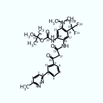 Cc1ccc(-c2cccc(C(=O)CC(=O)Nc3cc(C(F)(F)F)c(N(C)C)cc3NC(=O)OC(C)(C)C)c2)nn1